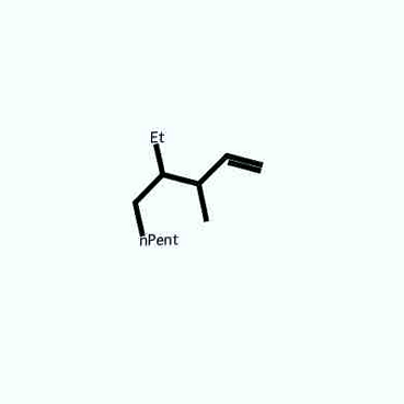 C=CC(C)C(CC)CCCCCC